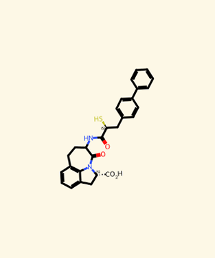 O=C(NC1CCc2cccc3c2N(C1=O)[C@H](C(=O)O)C3)[C@@H](S)Cc1ccc(-c2ccccc2)cc1